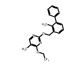 Cc1cnc(OCc2cccc(-c3ccccc3)c2C)nc1OCC(F)(F)F